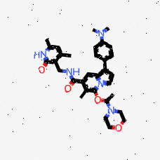 Cc1cc(C)c(CNC(=O)c2cc3c(-c4ccc(N(C)C)cc4)ccn3c(OC(C)N3CCOCC3)c2C)c(=O)[nH]1